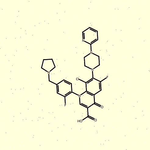 O=C(O)c1cn(-c2ccc(CN3CCCC3)cc2F)c2c(Cl)c(N3CCN(c4ccccn4)CC3)c(F)cc2c1=O